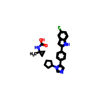 CC1(NC(=O)O)CC1.Fc1ccc2[nH]c(-c3ccc(-c4cncn4C4CCCC4)cc3)cc2c1